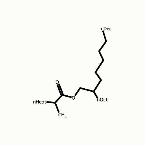 CCCCCCCCCCCCCCCC(CCCCCCCC)COC(=O)C(C)CCCCCCC